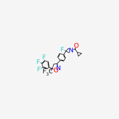 O=C(C1CC1)N1CC(F)(c2ccc(C3=NOC(c4cc(F)c(F)c(F)c4)(C(F)(F)F)C3)cc2)C1